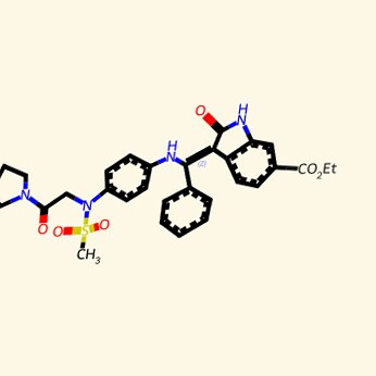 CCOC(=O)c1ccc2c(c1)NC(=O)/C2=C(\Nc1ccc(N(CC(=O)N2CCCC2)S(C)(=O)=O)cc1)c1ccccc1